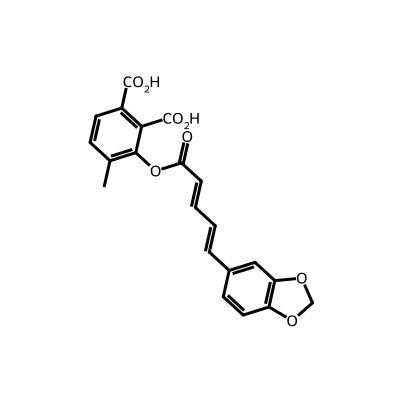 Cc1ccc(C(=O)O)c(C(=O)O)c1OC(=O)C=CC=Cc1ccc2c(c1)OCO2